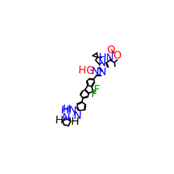 C=C([C@@H](NC(=O)OC)C(C)C)N1CC2(CC2)C[C@H]1c1ncc(-c2ccc3c(c2)C(F)(F)c2cc(-c4ccc5nc([C@H]6N[C@@H]7CC[C@H]6C7)[nH]c5c4)ccc2-3)n1O